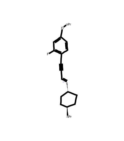 CCCOc1ccc(C#C/C=C/[C@H]2CC[C@H](CCC)CC2)c(F)c1